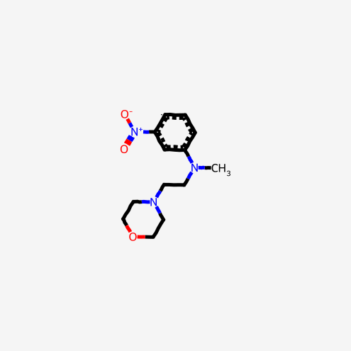 CN(CCN1CCOCC1)c1cc[c]c([N+](=O)[O-])c1